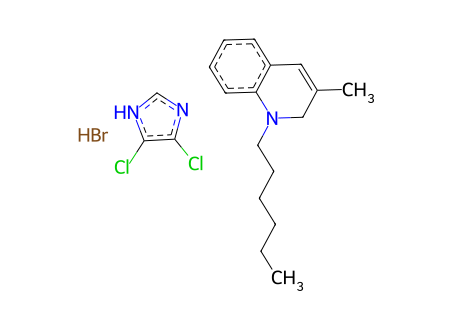 Br.CCCCCCN1CC(C)=Cc2ccccc21.Clc1nc[nH]c1Cl